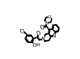 O=C(CN1CCc2nc3ccccc3c(C(=O)N3CCOCC3)c2C1)c1cc(Cl)ccc1O